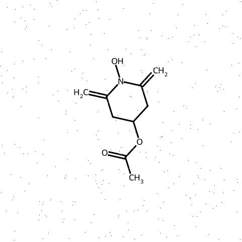 C=C1CC(OC(C)=O)CC(=C)N1O